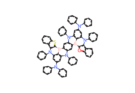 c1ccc(N(c2ccccc2)c2cc3c4c(c2)N(c2ccccc2)c2c(oc5ccccc25)B4c2cc4c(cc2N3c2ccccc2)B2c3sc5ccccc5c3N(c3ccccc3)c3cc(N(c5ccccc5)c5ccccc5)cc(c32)N4c2ccccc2)cc1